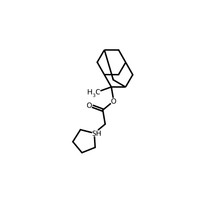 CC1(OC(=O)C[SH]2CCCC2)C2CC3CC(C2)CC1C3